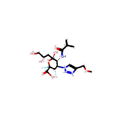 COCc1cn(C2[C@@H](NC(=O)C(C)C)[C@@](O)(C[C@H](O)CO)O[C@@](F)(C(=O)O)[C@H]2F)nn1